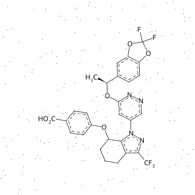 C[C@H](Oc1cc(-n2nc(C(F)(F)F)c3c2C(Oc2ccc(C(=O)O)cc2)CCC3)cnn1)c1ccc2c(c1)OC(F)(F)O2